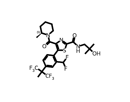 C[C@H]1CCCCN1C(=O)c1nc(C(=O)NCC(C)(C)O)sc1-c1ccc(C(C)(C(F)(F)F)C(F)(F)F)cc1C(F)F